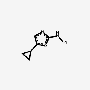 CC(C)Nc1ncc(C2CC2)o1